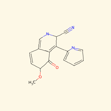 COC1C=CC2=C[N]C(C#N)C(c3ccccn3)=C2C1=O